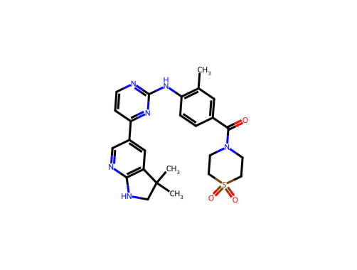 Cc1cc(C(=O)N2CCS(=O)(=O)CC2)ccc1Nc1nccc(-c2cnc3c(c2)C(C)(C)CN3)n1